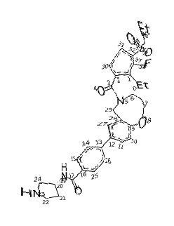 CCc1c(C(=O)N2CCOc3ccc(-c4ccc(C(=O)N[C@@H]5CCNC5)cc4)cc3C2)ccc(S(=O)(=O)CC)c1F